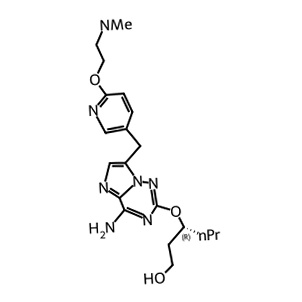 CCC[C@H](CCO)Oc1nc(N)c2ncc(Cc3ccc(OCCNC)nc3)n2n1